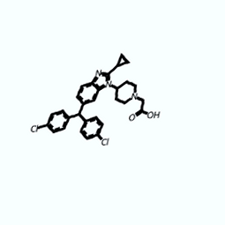 O=C(O)CN1CCC(n2c(C3CC3)nc3ccc(C(c4ccc(Cl)cc4)c4ccc(Cl)cc4)cc32)CC1